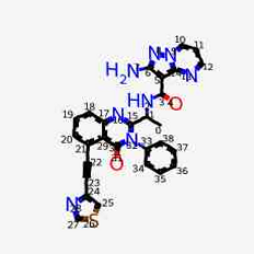 CC(NC(=O)c1c(N)nn2cccnc12)c1nc2cccc(C#Cc3cscn3)c2c(=O)n1-c1ccccc1